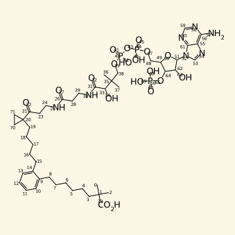 CC(C)(CCCCCCc1ccccc1CCCCCC1(C(=O)CCNC(=O)CCNC(=O)C(O)C(C)(C)COP(=O)(O)OP(=O)(O)OCC2OC(n3cnc4c(N)ncnc43)C(O)C2OP(=O)(O)O)CC1)C(=O)O